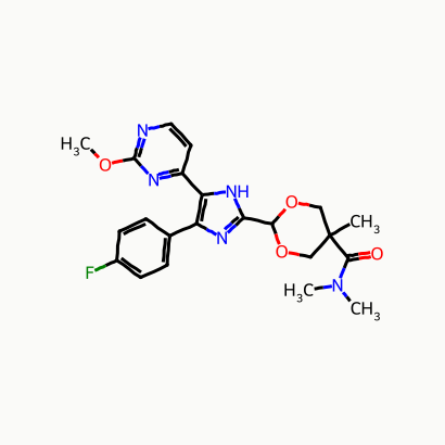 COc1nccc(-c2[nH]c(C3OCC(C)(C(=O)N(C)C)CO3)nc2-c2ccc(F)cc2)n1